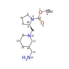 CC(C)(C)OC(=O)N1CCC[C@@H]1CN1CCCC(CN)C1